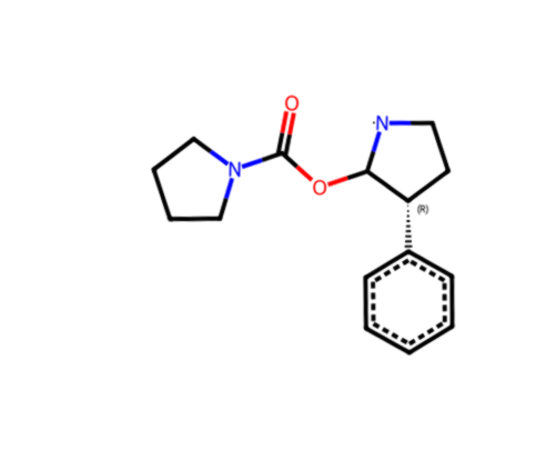 O=C(OC1[N]CC[C@@H]1c1ccccc1)N1CCCC1